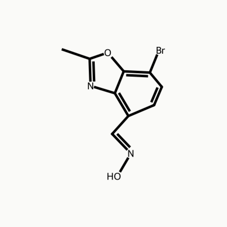 Cc1nc2c(C=NO)ccc(Br)c2o1